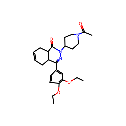 CCOc1ccc(C2=NN(C3CCN(C(C)=O)CC3)C(=O)C3CC=CCC23)cc1OCC